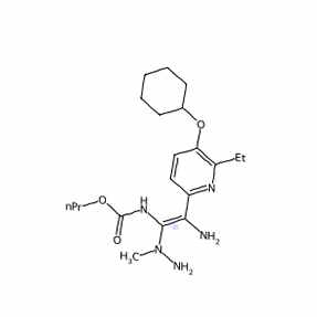 CCCOC(=O)N/C(=C(/N)c1ccc(OC2CCCCC2)c(CC)n1)N(C)N